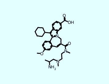 COc1ccc2c(c1)C=C(C(=O)N(C)CCN(C)CC(C)N)Cn1c-2c(C2CCCCC2)c2ccc(C(=O)O)cc21